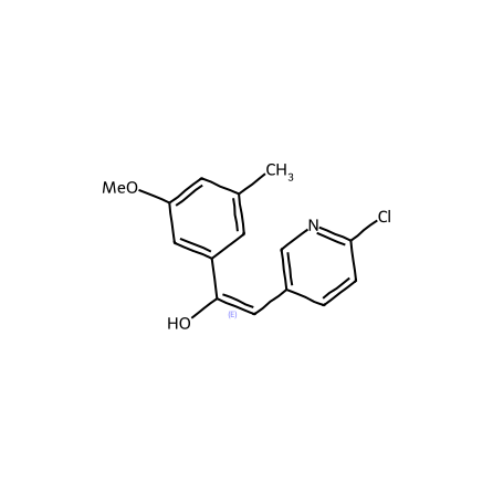 COc1cc(C)cc(/C(O)=C\c2ccc(Cl)nc2)c1